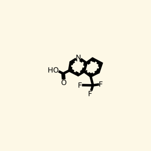 O=C(O)c1cnc2cccc(C(F)(F)F)c2c1